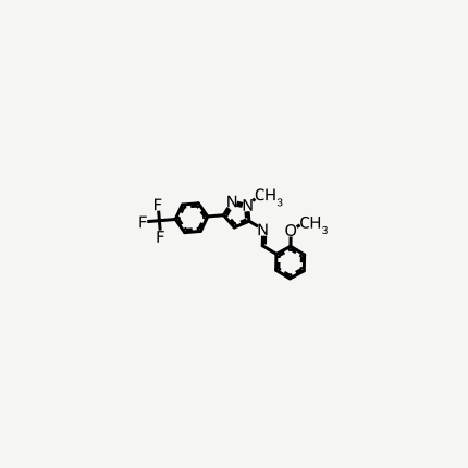 COc1ccccc1C=Nc1cc(-c2ccc(C(F)(F)F)cc2)nn1C